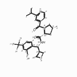 CC(C)c1cc(C(=O)N2C[C@H](C)C[C@@H]2C(=O)N[C@@H](c2ccc(C(F)(F)F)cc2F)C2COC2)ccn1